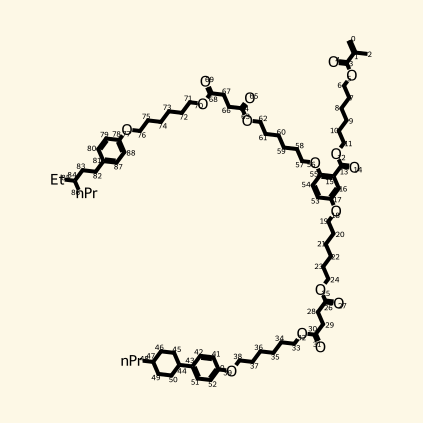 C=C(C)C(=O)OCCCCCCOC(=O)c1cc(OCCCCCCOC(=O)CCC(=O)OCCCCCCOc2ccc(C3CCC(CCC)CC3)cc2)ccc1OCCCCCCOC(=O)CCC(=O)OCCCCCCOc1ccc(CCC(CC)CCC)cc1